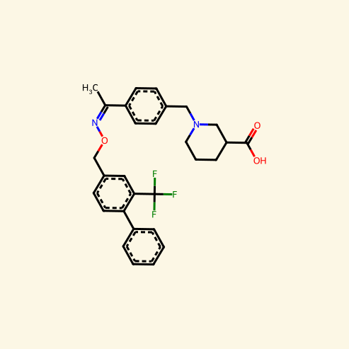 C/C(=N/OCc1ccc(-c2ccccc2)c(C(F)(F)F)c1)c1ccc(CN2CCCC(C(=O)O)C2)cc1